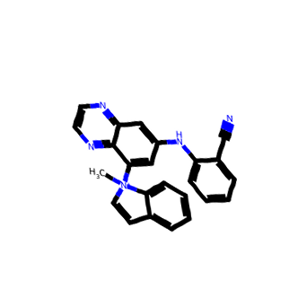 C[N+]1(c2cc(Nc3ccccc3C#N)cc3nccnc23)C=Cc2ccccc21